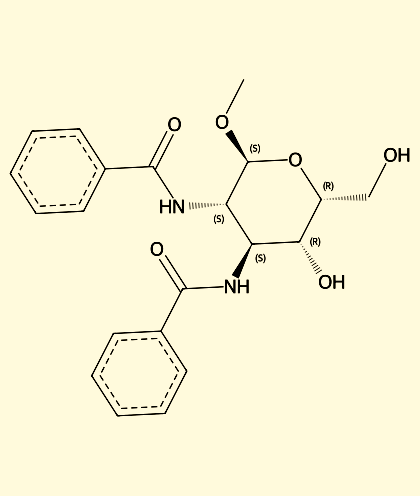 CO[C@H]1O[C@H](CO)[C@H](O)[C@@H](NC(=O)c2ccccc2)[C@@H]1NC(=O)c1ccccc1